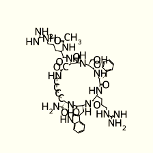 CC(=O)NC(CCCNC(=N)N)C(=O)N[C@H]1CC(=O)NCCCC[C@@H](C(N)=O)NC(=O)[C@H](Cc2c[nH]c3ccccc23)NC(=O)C(CCCNC(=N)N)NC(=O)[C@@H](Cc2ccccc2)NC(=O)[C@H](CO)NC1=O